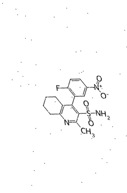 Cc1nc2c(c(-c3cc([N+](=O)[O-])ccc3F)c1S(N)(=O)=O)CCCC2